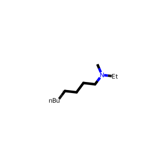 CCCC[CH]CCCN(C)CC